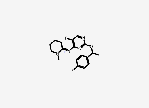 CC(Oc1ncc(F)c(/N=C2\CCCCN2C)n1)c1ccc(F)cc1